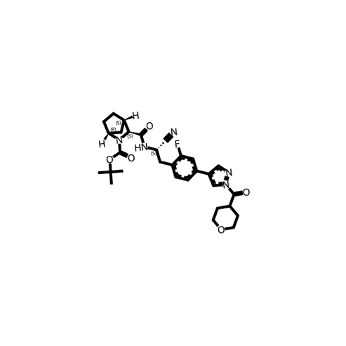 CC(C)(C)OC(=O)N1[C@@H]2CC[C@@H](C2)[C@H]1C(=O)N[C@H](C#N)Cc1ccc(-c2cnn(C(=O)C3CCOCC3)c2)cc1F